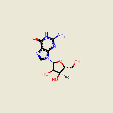 CC(=O)[C@@]1(O)[C@@H](CO)O[C@@H](n2cnc3c(=O)[nH]c(N)nc32)[C@@H]1O